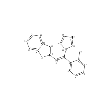 Cc1ccccc1/C(=N/N1Cc2ccccc2C1)n1ccnc1